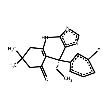 CC[C@]1(c2cccc(F)c2)C2=C(CC(C)(C)CC2=O)Nc2ncsc21